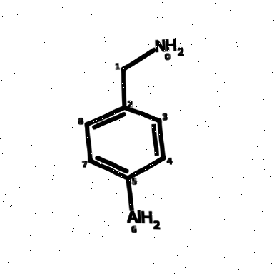 NCc1cc[c]([AlH2])cc1